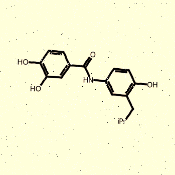 CC(C)Cc1cc(NC(=O)c2ccc(O)c(O)c2)ccc1O